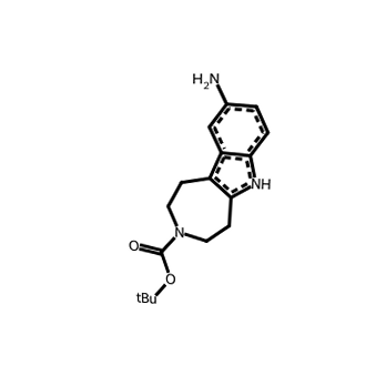 CC(C)(C)OC(=O)N1CCc2[nH]c3ccc(N)cc3c2CC1